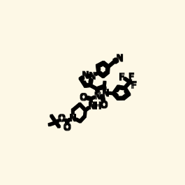 Cc1c(-c2ccnn2-c2ccc(C#N)cc2)n(C(=O)NC2CCN(C(=O)OC(C)(C)C)CC2)c(=O)n1-c1cccc(C(F)(F)F)c1